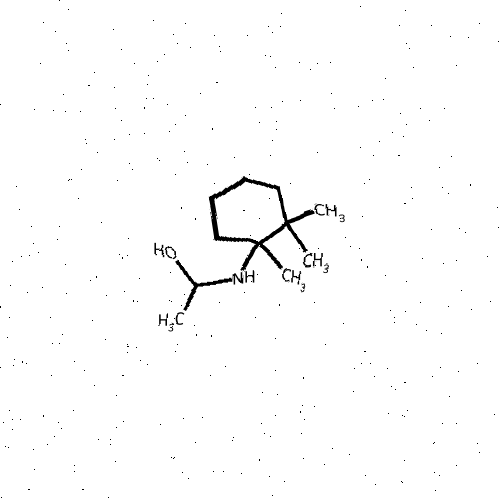 CC(O)NC1(C)CCCCC1(C)C